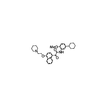 COc1ccc(C2CCCCC2)cc1NC(=O)C(=O)c1ccc(OCCN2CCCCC2)c2ccccc12